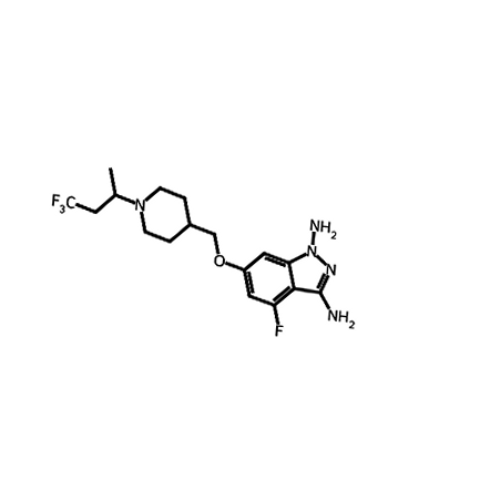 CC(CC(F)(F)F)N1CCC(COc2cc(F)c3c(N)nn(N)c3c2)CC1